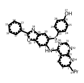 CC(C)c1ccc2c(Nc3cc4oc(-c5ccccc5)nc4cc3Sc3ccc(O)cc3)ncnc2n1